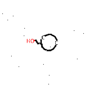 OCCC1CCCCCCCCCCCCCC1